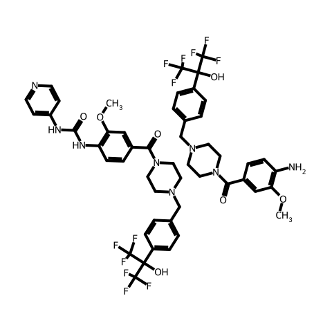 COc1cc(C(=O)N2CCN(Cc3ccc(C(O)(C(F)(F)F)C(F)(F)F)cc3)CC2)ccc1N.COc1cc(C(=O)N2CCN(Cc3ccc(C(O)(C(F)(F)F)C(F)(F)F)cc3)CC2)ccc1NC(=O)Nc1ccncc1